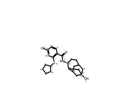 O=C(N[C@H]1CCC2CC3C[C@@](O)(C2)CC31)c1ccc(Cl)nc1SC1CCCC1